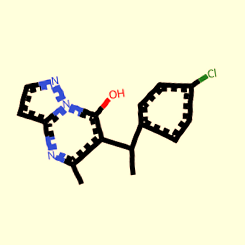 Cc1nc2ccnn2c(O)c1C(C)c1ccc(Cl)cc1